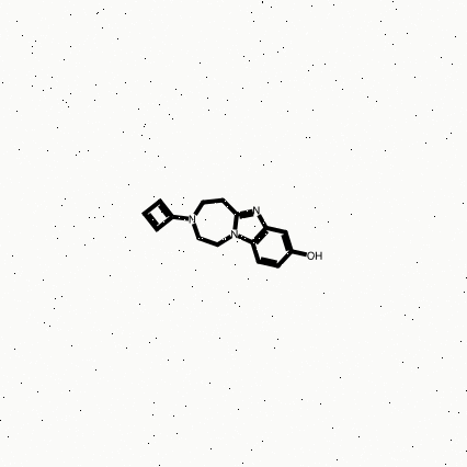 Oc1ccc2c(c1)nc1n2CCN(C2=CC=C2)CC1